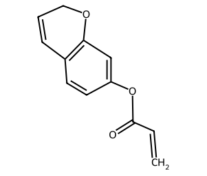 C=CC(=O)Oc1ccc2c(c1)OCC=C2